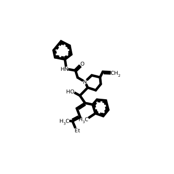 C=CC1CCC(C(O)/C(=C/C=C(\C)CC)c2ccccc2C)N(CC(=O)Nc2ccccc2)C1